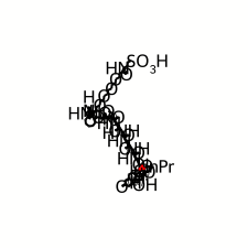 CCCC1O[C@@H]2C[C@H]3[C@@H]4CCC5=CC(=O)C=C[C@]5(C)[C@H]4[C@@H](O)C[C@]3(C)[C@]2(C(=O)COCNC(=O)CNC(=O)CNC(=O)CNC(=O)CNC(=O)[C@H](CO)NC(=O)COC2CCCCCC3=C2N(CCOCCOCCOCCOCCC(=O)NCCS(=O)(=O)O)NN3)O1